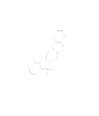 CC1(C)c2cc(Cl)ccc2-c2cc3c(cc21)oc1ccccc13